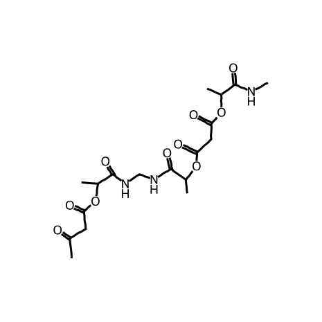 CNC(=O)C(C)OC(=O)CC(=O)OC(C)C(=O)NCNC(=O)C(C)OC(=O)CC(C)=O